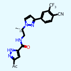 CC(=O)c1cc(C(=O)NC[C@H](C)n2ccc(-c3ccc(C#N)c(C(F)(F)F)c3)n2)[nH]n1